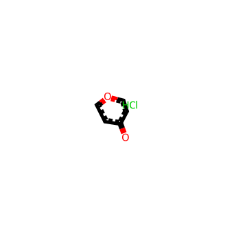 Cl.O=c1ccocc1